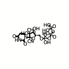 C[C@@]1(O)[C@H](O)[C@@H](COP(=O)(O)OP(=O)(O)OP(=O)(O)O)O[C@@]1(C#N)n1ccc(=O)[nH]c1=O